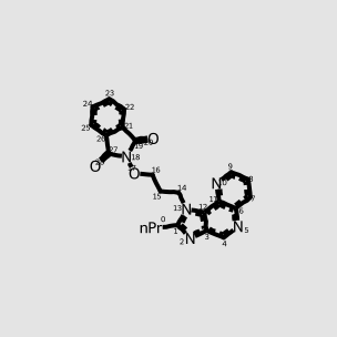 CCCc1nc2cnc3cccnc3c2n1CCCON1C(=O)c2ccccc2C1=O